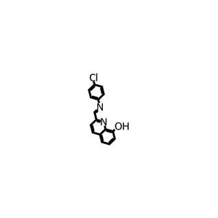 Oc1cccc2ccc(C=Nc3ccc(Cl)cc3)nc12